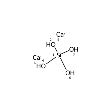 O[Si](O)(O)O.[Ca].[Ca]